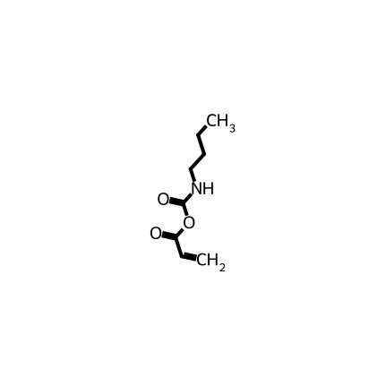 C=CC(=O)OC(=O)NCCCC